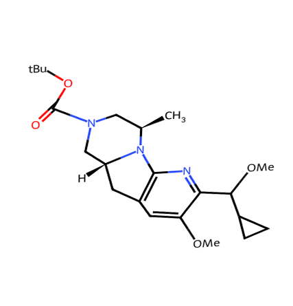 COc1cc2c(nc1C(OC)C1CC1)N1[C@H](C2)CN(C(=O)OC(C)(C)C)C[C@H]1C